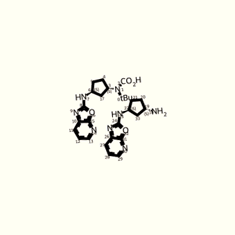 CC(C)(C)N(C(=O)O)[C@H]1CC[C@H](Nc2nc3cccnc3o2)C1.N[C@H]1CC[C@H](Nc2nc3cccnc3o2)C1